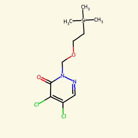 C[Si](C)(C)CCOCn1ncc(Cl)c(Cl)c1=O